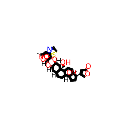 C[C@@H]1CC2(N=CCS2)C2(O)O[C@@H]3C[C@]4(CO)C5CC[C@]6(C)[C@@H](C7=CC(=O)OC7)CC[C@]6(O)[C@@H]5CC[C@H]4C[C@H]3O[C@@H]2O1